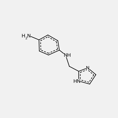 Nc1ccc(NCc2ncc[nH]2)cc1